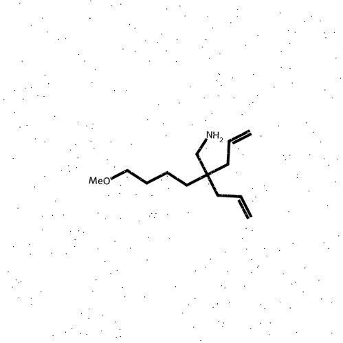 C=CCC(CN)(CC=C)CCCCOC